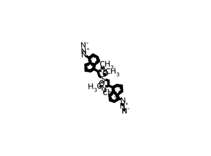 CN(C)C(CS(=O)(=O)CC(c1cccc2c(N=[N+]=[N-])cccc12)N(C)C)c1cccc2c(N=[N+]=[N-])cccc12